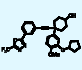 COc1ccc(C2(C#Cc3cccc(-c4nnc(C(F)(F)F)o4)c3)CCC(O)CC2)cc1OC1CCCC1